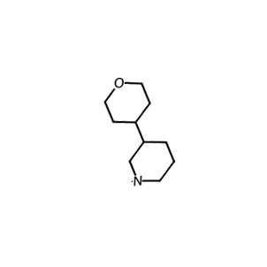 C1C[N]CC(C2CCOCC2)C1